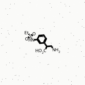 CCS(=O)(=O)Nc1cccc(C(CN)C(=O)O)c1